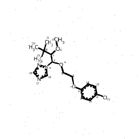 COC(C(OCCOc1ccc(Cl)cc1)n1cncn1)C(C)(C)C